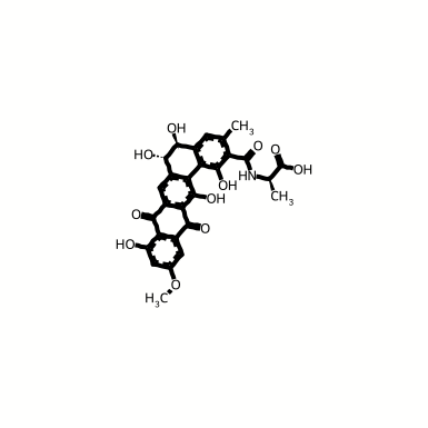 COc1cc(O)c2c(c1)C(=O)c1c(cc3c(c1O)-c1c(cc(C)c(C(=O)N[C@H](C)C(=O)O)c1O)[C@H](O)[C@H]3O)C2=O